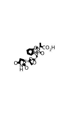 CC(C(=O)O)N(Oc1ccccc1)[PH](=O)OC[C@@H]1OC[C@H](n2ccc(=O)[nH]c2=O)O1